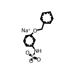 O=S(=O)([O-])Nc1cccc(OCc2ccccc2)c1.[Na+]